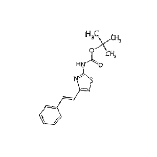 CC(C)(C)OC(=O)Nc1nc(C=Cc2ccccc2)cs1